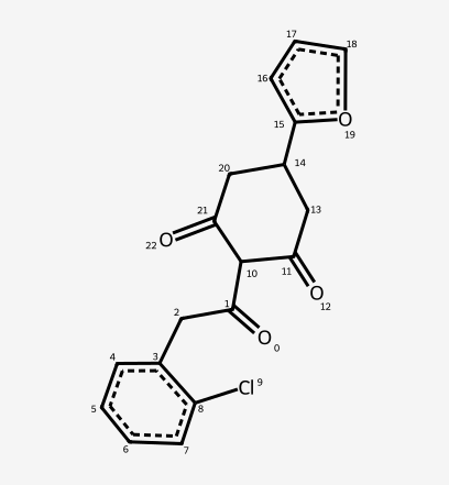 O=C(Cc1ccccc1Cl)C1C(=O)CC(c2ccco2)CC1=O